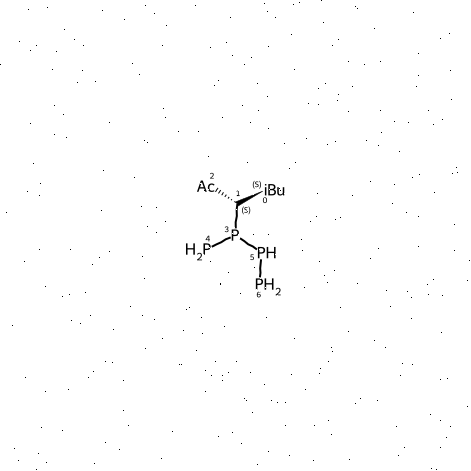 CC[C@H](C)[C@@H](C(C)=O)P(P)PP